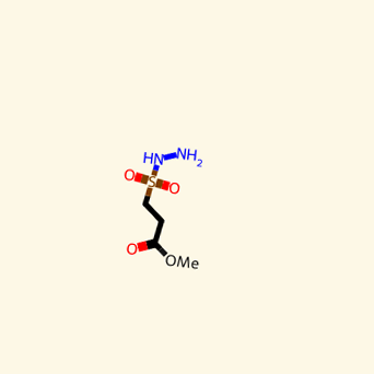 COC(=O)CCS(=O)(=O)NN